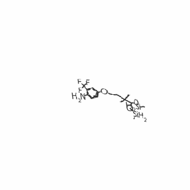 C[SiH2]OC(O[SiH2]C)C(C)(C)CCOc1ccc(N)c(C(F)(F)F)c1